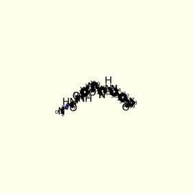 CN(C)C/C=C/C(=O)NCC(=O)Nc1ccc(CN2CCN(c3cncc(Nc4ccc(-c5ccc(N6CCCC6=O)cc5)cn4)c3)C2=O)cc1